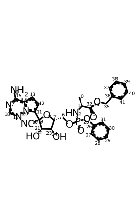 C[C@H](N[P@](=O)(OC[C@H]1O[C@@](C#N)(c2ccc3c(N)ncnn23)[C@H](O)[C@@H]1O)Oc1ccccc1)C(=O)OCc1ccccc1